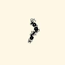 CCOC(=O)[C@H]1CC[C@@H](Oc2ccc(C(=O)NCCNC(=O)c3ccc(OC(F)(F)F)cc3)c(Cl)c2)CC1